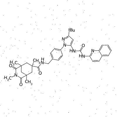 CN1C(=O)C2(C)CC(C)(C(=O)NCc3ccc(-n4nc(C(C)(C)C)cc4NC(=O)Nc4ccc5ccccc5n4)cc3)CC(C)(C2)C1=O